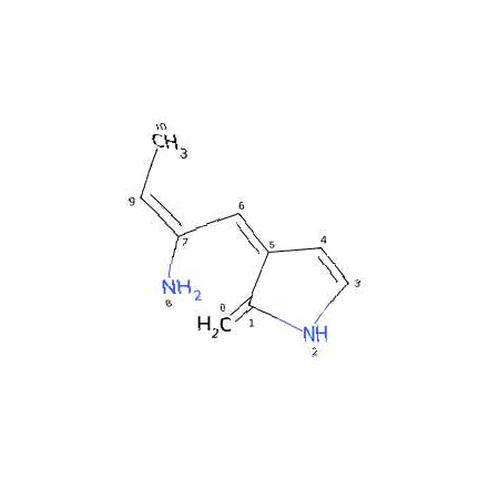 C=c1[nH]cc/c1=C/C(N)=C\C